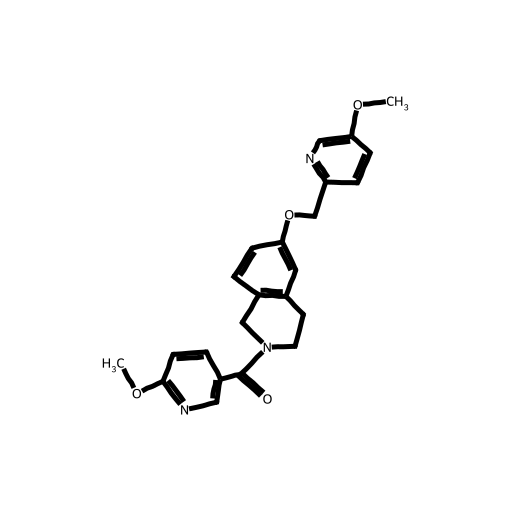 COc1ccc(COc2ccc3c(c2)CCN(C(=O)c2ccc(OC)nc2)C3)nc1